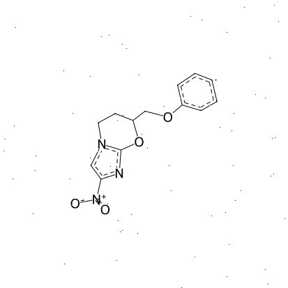 O=[N+]([O-])c1cn2c(n1)OC(COc1cc[c]cc1)CC2